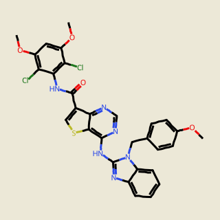 COc1ccc(Cn2c(Nc3ncnc4c(C(=O)Nc5c(Cl)c(OC)cc(OC)c5Cl)csc34)nc3ccccc32)cc1